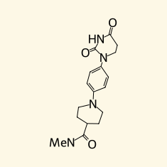 CNC(=O)C1CCN(c2ccc(N3CCC(=O)NC3=O)cc2)CC1